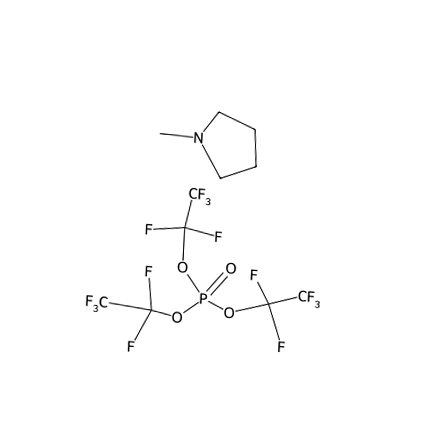 CN1CCCC1.O=P(OC(F)(F)C(F)(F)F)(OC(F)(F)C(F)(F)F)OC(F)(F)C(F)(F)F